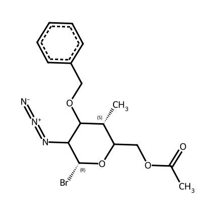 CC(=O)OCC1O[C@H](Br)C(N=[N+]=[N-])C(OCc2ccccc2)[C@@H]1C